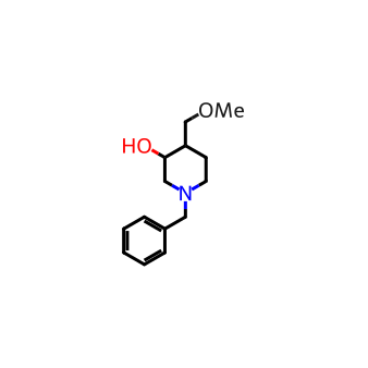 COCC1CCN(Cc2ccccc2)CC1O